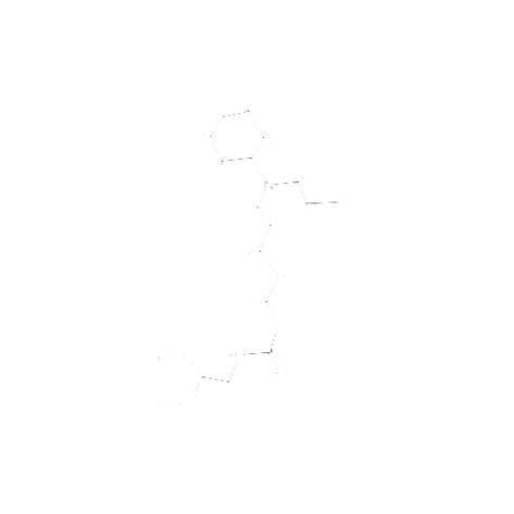 CCCCCCCCC(CCCCCCCC)COC(=O)OCCCCCN(CCO)C1CCCCC1